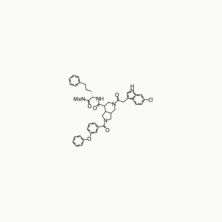 CNC(=O)[C@H](CCCc1ccccc1)NC(=O)C1CN(C(=O)Cc2c[nH]c3cc(Cl)ccc23)CC2CN(C(=O)c3cccc(Oc4ccccc4)c3)CC21